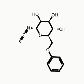 O[C@H]1[C@H](O)[C@@H](COc2ccccc2)O[C@H](N=C=S)[C@H]1O